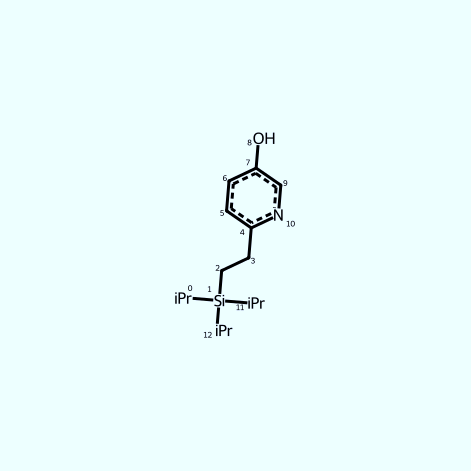 CC(C)[Si](CCc1ccc(O)cn1)(C(C)C)C(C)C